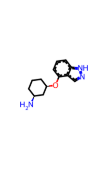 N[C@H]1CCC[C@@H](Oc2cccc3[nH]ncc23)C1